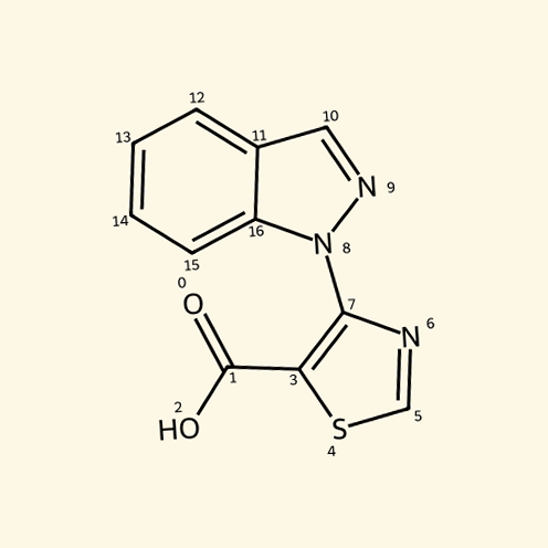 O=C(O)c1scnc1-n1ncc2ccccc21